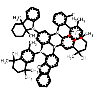 Cc1ccccc1-c1c(C)cccc1N1c2cc3c(cc2B2c4ccc5c(oc6ccccc65)c4N(c4cc5c(cc4C)C(C)(C)CCC5(C)C)c4cc(N5c6ccccc6C6(C)CCCCC56C)cc1c42)C(C)(C)CCC3(C)C